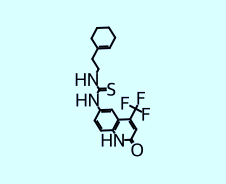 O=c1cc(C(F)(F)F)c2cc(NC(=S)NCCC3=CCCCC3)ccc2[nH]1